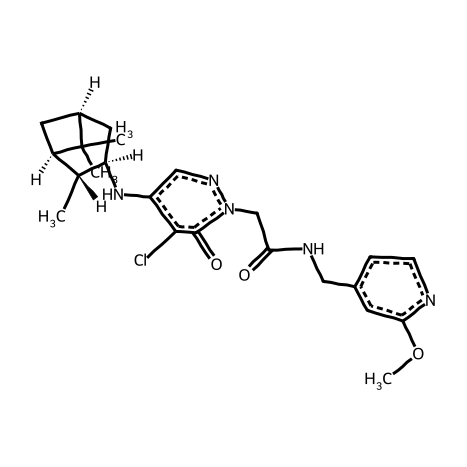 COc1cc(CNC(=O)Cn2ncc(N[C@@H]3C[C@@H]4C[C@H]([C@H]3C)C4(C)C)c(Cl)c2=O)ccn1